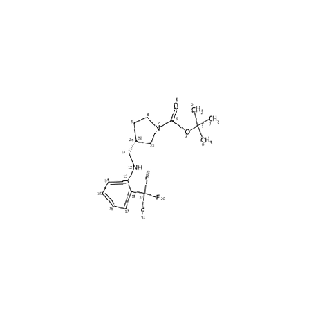 CC(C)(C)OC(=O)N1CC[C@@H](CNc2ccccc2C(F)(F)F)C1